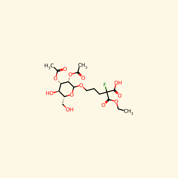 CCOC(=O)C(F)(CCCOC1O[C@H](CO)[C@@H](O)[C@H](OC(C)=O)[C@@H]1OC(C)=O)C(=O)O